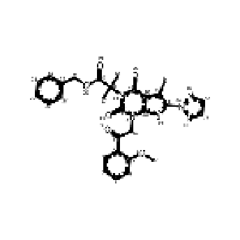 COc1ccccc1C(=O)Cn1c(=O)n(C(C)(C)C(=O)OCc2ccccc2)c(=O)c2c(C)c(-n3nccn3)sc21